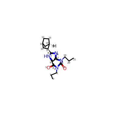 CCCn1c(=O)c2[nH]c([C@H]3CC4CC[C@@H]3C4)nc2n(CCC)c1=O